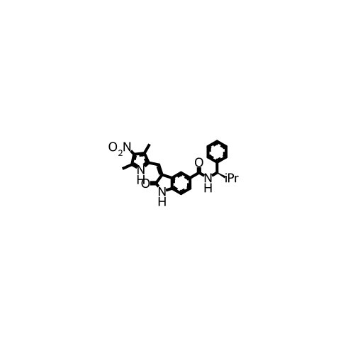 Cc1[nH]c(/C=C2\C(=O)Nc3ccc(C(=O)N[C@@H](c4ccccc4)C(C)C)cc32)c(C)c1[N+](=O)[O-]